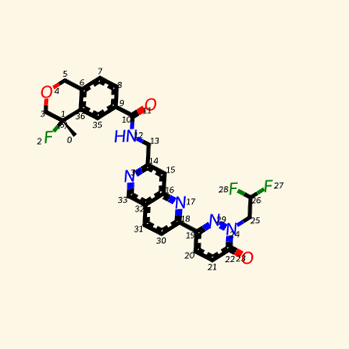 C[C@@]1(F)COCc2ccc(C(=O)NCc3cc4nc(-c5ccc(=O)n(CC(F)F)n5)ccc4cn3)cc21